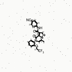 Cc1cn(-c2ccccc2OCC(F)(F)F)c(=O)c2c(C(=O)Nc3ccc(C#N)cn3)cnn12